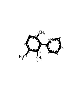 Cc1ccc(C)c(-c2ccccn2)c1C